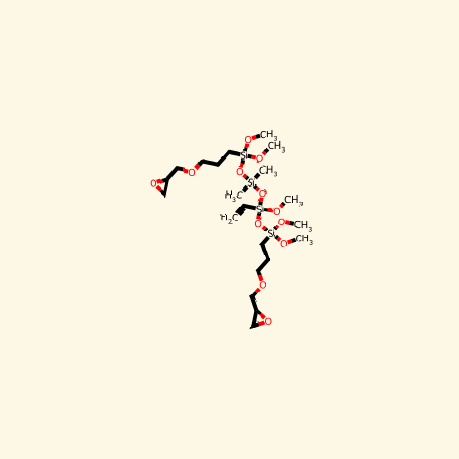 C=C[Si](OC)(O[Si](C)(C)O[Si](CCCOCC1CO1)(OC)OC)O[Si](CCCOCC1CO1)(OC)OC